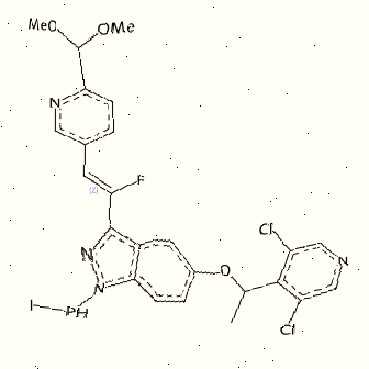 COC(OC)c1ccc(/C=C(\F)c2nn(PI)c3ccc(OC(C)c4c(Cl)cncc4Cl)cc23)cn1